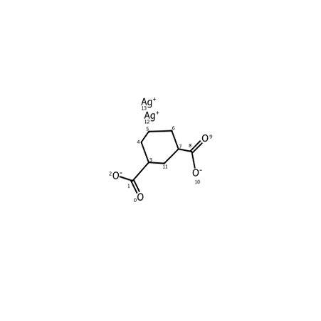 O=C([O-])C1CCCC(C(=O)[O-])C1.[Ag+].[Ag+]